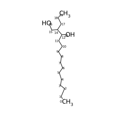 CCCCCCCCCCCCC(O)C(CO)CCC